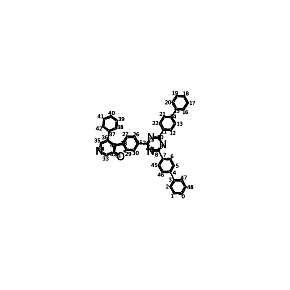 c1ccc(-c2ccc(-c3nc(-c4ccc(-c5ccccc5)cc4)nc(-c4ccc5c(c4)oc4cncc(-c6ccccc6)c45)n3)cc2)cc1